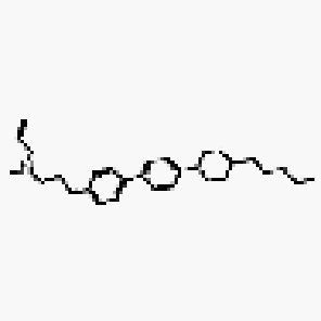 C=CCN(C)CCCc1ccc(-c2ccc(C3CCC(CCCCC)CC3)cc2)cc1